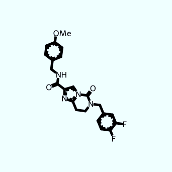 COc1ccc(CNC(=O)c2cn3c(n2)CCN(Cc2ccc(F)c(F)c2)C3=O)cc1